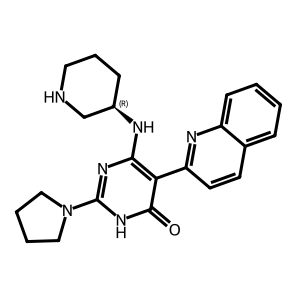 O=c1[nH]c(N2CCCC2)nc(N[C@@H]2CCCNC2)c1-c1ccc2ccccc2n1